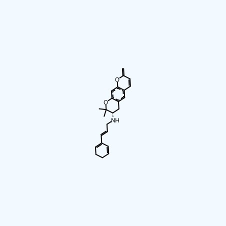 C=C1C=Cc2cc3c(cc2O1)OC(C)(C)[C@@H](NC/C=C/C1=CCCC=C1)C3